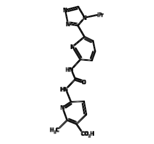 Cc1nc(NC(=O)Nc2cccc(-c3nncn3C(C)C)n2)ccc1C(=O)O